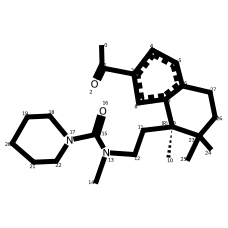 CC(=O)c1ccc2c(c1)[C@](C)(CCN(C)C(=O)N1CCCCC1)C(C)(C)CC2